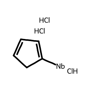 Cl.Cl.Cl.[Nb][C]1=CC=CC1